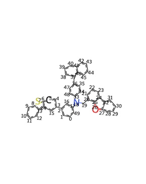 c1cc(-c2ccc3sc4ccccc4c3c2)cc(N(Cc2cccc3c2oc2ccccc23)c2ccc(-c3cccc4ccccc34)cc2)c1